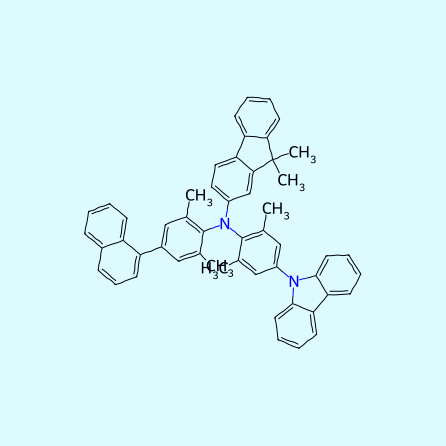 Cc1cc(-c2cccc3ccccc23)cc(C)c1N(c1ccc2c(c1)C(C)(C)c1ccccc1-2)c1c(C)cc(-n2c3ccccc3c3ccccc32)cc1C